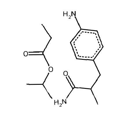 CC(Cc1ccc(N)cc1)C(N)=O.CCC(=O)OC(C)C